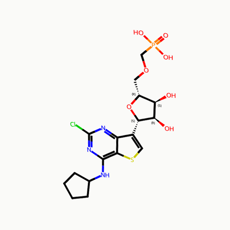 O=P(O)(O)COC[C@H]1O[C@@H](c2csc3c(NC4CCCC4)nc(Cl)nc23)[C@H](O)[C@@H]1O